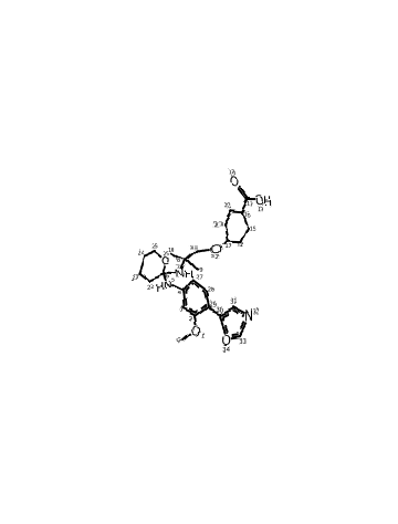 COc1cc(NC2(NC(C)(C)COC3CCC(C(=O)O)CC3)CCCCO2)ccc1-c1cnco1